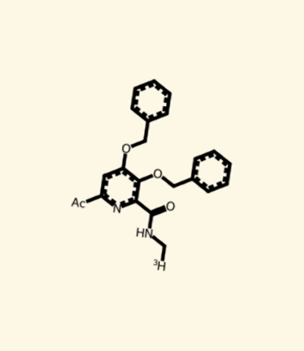 [3H]CNC(=O)c1nc(C(C)=O)cc(OCc2ccccc2)c1OCc1ccccc1